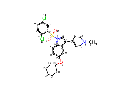 CN1CC=C(c2cn(S(=O)(=O)c3cc(Cl)ccc3Cl)c3ccc(OC4CCCCC4)cc23)CC1